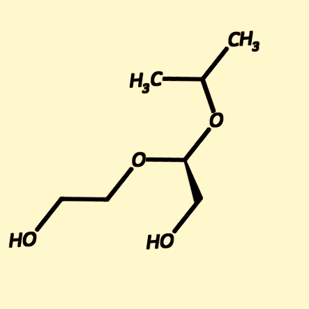 CC(C)O[C@@H](CO)OCCO